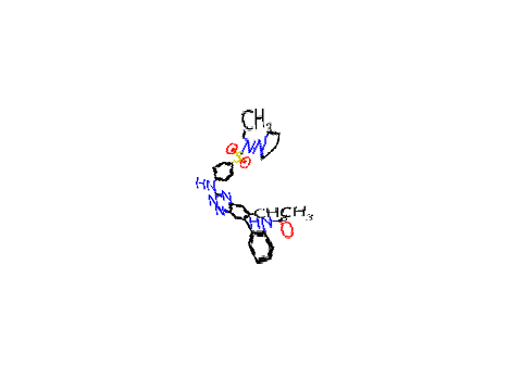 CCN(N1CCCC1)S(=O)(=O)c1ccc(Nc2nnc3cc(-c4ccccc4NC(C)=O)c(C)cc3n2)cc1